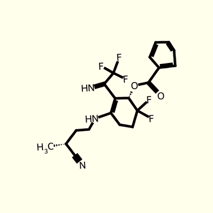 C[C@@H](C#N)CCNC1=C(C(=N)C(F)(F)F)[C@H](OC(=O)c2ccccc2)C(F)(F)CC1